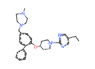 CCc1cnc(N2CCC(Oc3ccc(CN4CCN(C)CC4)cc3-c3ccccc3)CC2)nc1